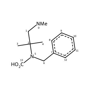 CNCC(C)(C)N(Cc1ccccc1)C(=O)O